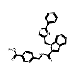 COC(=O)c1ccc(CNC(=O)c2cc3ccccc3n2Cc2coc(-c3ccccc3)n2)cc1